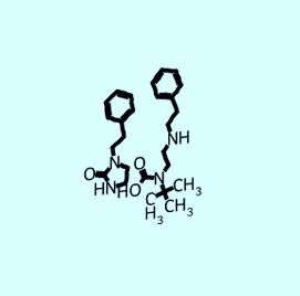 CC(C)(C)N(CCNCCc1ccccc1)C(=O)O.O=C1NCCN1CCc1ccccc1